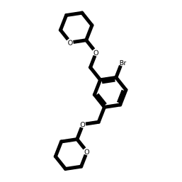 Brc1ccc(COC2CCCCO2)cc1COC1CCCCO1